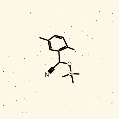 Cc1ccc(C)c(C(C#N)O[Si](C)(C)C)c1